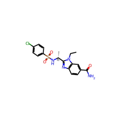 CCn1c([C@@H](C)NS(=O)(=O)c2ccc(Cl)cc2)nc2ccc(C(N)=O)cc21